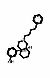 Oc1cccc([C@]23CCCC[C@H]2CN(CCCCc2ccccc2)CC3)c1